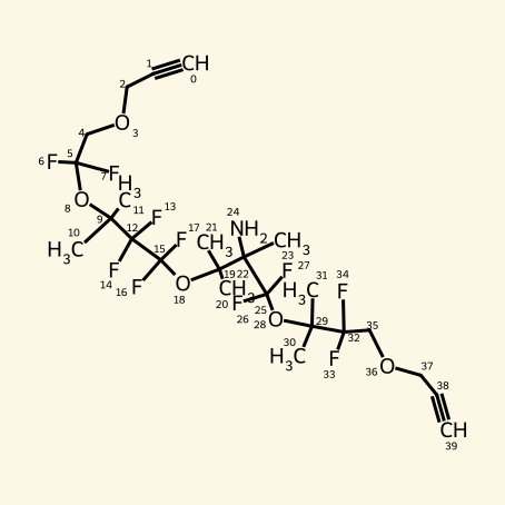 C#CCOCC(F)(F)OC(C)(C)C(F)(F)C(F)(F)OC(C)(C)C(C)(N)C(F)(F)OC(C)(C)C(F)(F)COCC#C